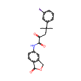 CC(C)(CC(=O)C(=O)Nc1ccc2c(c1)COC2=O)c1cccc(I)c1